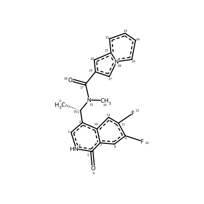 C[C@@H](c1c[nH]c(=O)c2cc(F)c(F)cc12)N(C)C(=O)c1cc2ccccn2c1